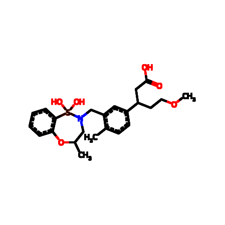 COCCC(CC(=O)O)c1ccc(C)c(CN2CC(C)Oc3ccccc3S2(O)O)c1